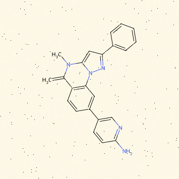 C=C1c2ccc(-c3ccc(N)nc3)cc2-n2nc(-c3ccccc3)cc2N1C